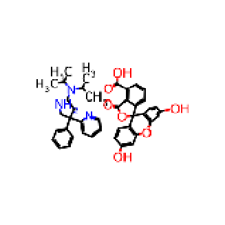 CC(C)N(CCC(CN)(c1ccccc1)c1ccccn1)C(C)C.O=C(O)c1cccc2c1C(=O)OC21c2ccc(O)cc2Oc2cc(O)ccc21